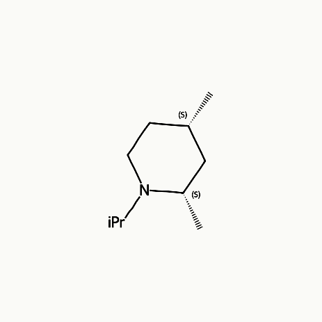 CC(C)N1CC[C@H](C)C[C@@H]1C